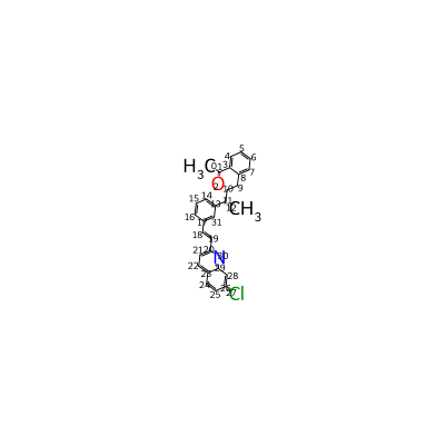 CC(=O)c1ccccc1CC[C@H](C)c1cccc(/C=C/c2ccc3ccc(Cl)cc3n2)c1